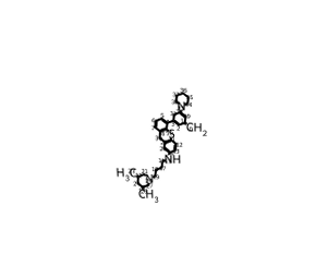 C=C1C=C(c2cccc3c2Sc2ccc(NCCCCN4CC(C)CC(C)C4)cc2C3)CC(N2CCCCC2)=C1